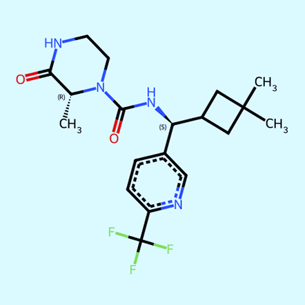 C[C@@H]1C(=O)NCCN1C(=O)N[C@H](c1ccc(C(F)(F)F)nc1)C1CC(C)(C)C1